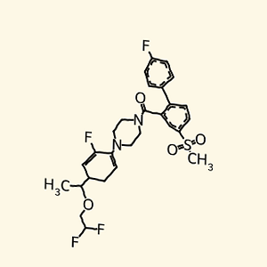 CC(OCC(F)F)C1C=C(F)C(N2CCN(C(=O)c3cc(S(C)(=O)=O)ccc3-c3ccc(F)cc3)CC2)=CC1